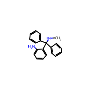 CNC(c1ccccc1)(c1ccccc1)c1ccccc1N